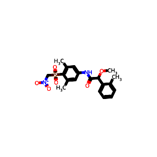 COC(C(=O)Nc1cc(C)c(S(=O)(=O)C[N+](=O)[O-])c(C)c1)c1ccccc1C